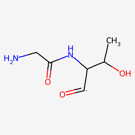 CC(O)C([C]=O)NC(=O)CN